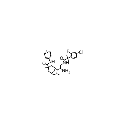 CC1CC2CC(CC(C)(C(=O)Nc3ccncc3)C2)C1C(N)CNC(=O)C(C)(C)c1ccc(Cl)cc1F